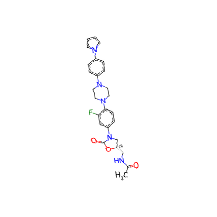 CC(=O)NC[C@H]1CN(c2ccc(N3CCN(c4ccc(-n5cccc5)cc4)CC3)c(F)c2)C(=O)O1